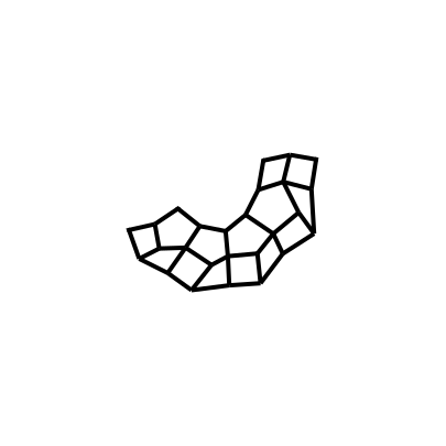 C1C2CC3C4C5C6CC7CC8C9C%10C%11C%12C%13C%14C1C2C3%14C%13C%124C%11C%105C9C786